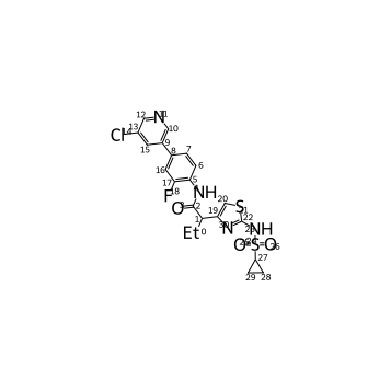 CCC(C(=O)Nc1ccc(-c2cncc(Cl)c2)cc1F)c1csc(NS(=O)(=O)C2CC2)n1